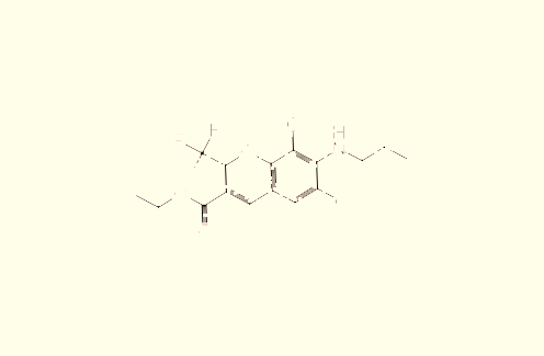 CCCNc1c(Cl)cc2c(c1Cl)OC(C(F)(F)F)C(C(=O)OCC)=C2